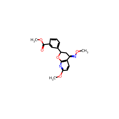 CON=C1CC(c2cccc(C(=O)OC)c2)Oc2nc(OC)ccc21